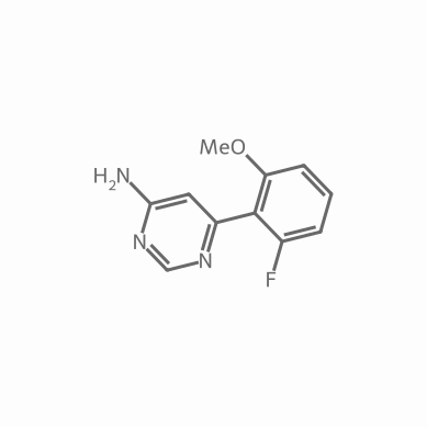 COc1cccc(F)c1-c1cc(N)ncn1